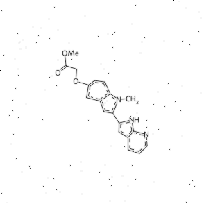 COC(=O)COc1ccc2c(c1)cc(-c1cc3cccnc3[nH]1)n2C